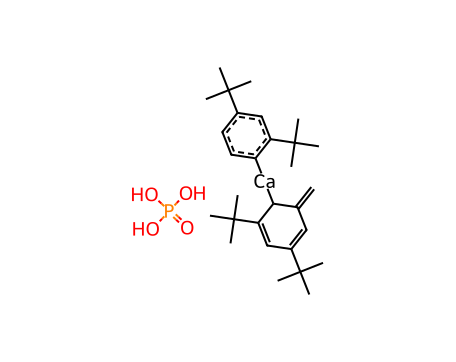 C=C1C=C(C(C)(C)C)C=C(C(C)(C)C)[CH]1[Ca][c]1ccc(C(C)(C)C)cc1C(C)(C)C.O=P(O)(O)O